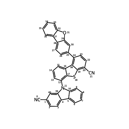 N#Cc1ccc2c3ccccc3n(-c3cccc4c3sc3c(C#N)ccc(-c5ccc6c(c5)oc5ccccc56)c34)c2c1